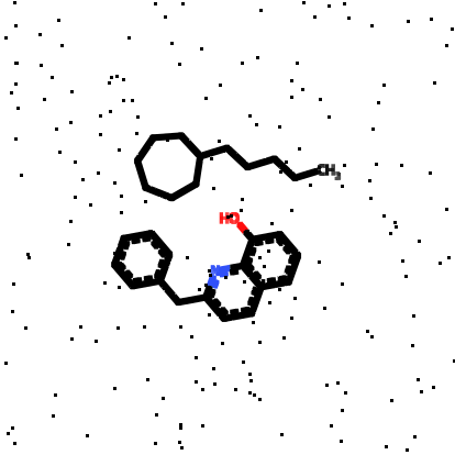 CCCCCC1CCCCCC1.Oc1cccc2ccc(Cc3ccccc3)nc12